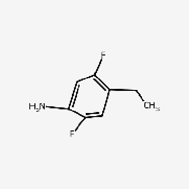 CCc1cc(F)c(N)cc1F